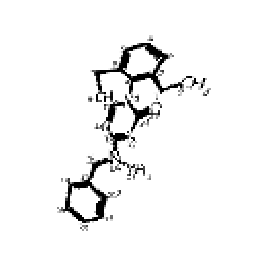 CCc1cccc(CC)c1-n1cnc(N(N)Cc2ccccc2)nc1=O